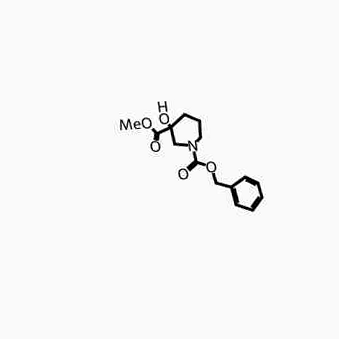 COC(=O)C1(O)CCCN(C(=O)OCc2ccccc2)C1